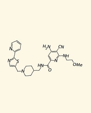 COCCNc1nc(C(=O)NCC2CCN(Cc3cnc(-c4ccccn4)s3)CC2)cc(N)c1C#N